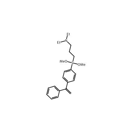 C=C(c1ccccc1)c1ccc([Si](CCCN(CC)CC)(OC)OC)cc1